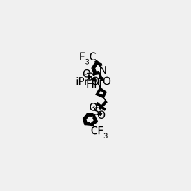 CC(C)S(=O)(=O)c1cc(C(F)(F)F)cnc1C(=O)N[C@H]1C[C@H](CC(C)(C)S(=O)(=O)c2cccc(C(F)(F)F)c2)C1